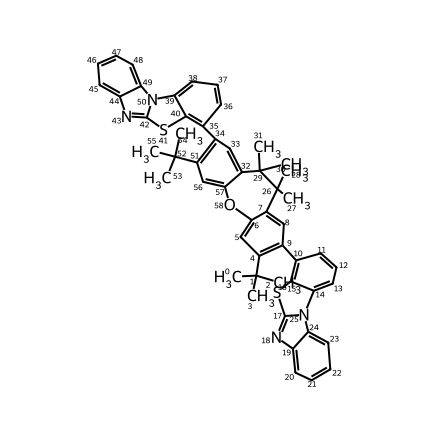 CC(C)(C)c1cc2c(cc1-c1cccc3c1sc1nc4ccccc4n13)C(C)(C)C(C)(C)c1cc(-c3cccc4c3sc3nc5ccccc5n34)c(C(C)(C)C)cc1O2